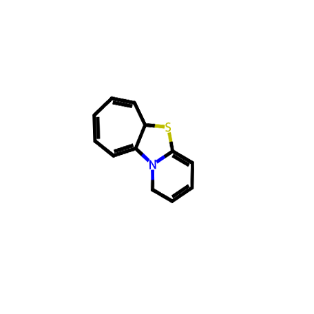 C1=CC=C2C(C=C1)SC1=CC=CCN12